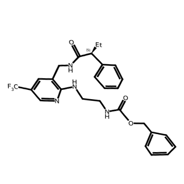 CC[C@H](C(=O)NCc1cc(C(F)(F)F)cnc1NCCNC(=O)OCc1ccccc1)c1ccccc1